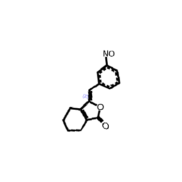 O=Nc1cccc(/C=C2\OC(=O)C3=C2CCCC3)c1